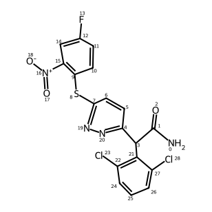 NC(=O)C(c1ccc(Sc2ccc(F)cc2[N+](=O)[O-])nn1)c1c(Cl)cccc1Cl